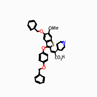 COc1cc2sc(/C=C(/C(=O)O)c3ccncc3)c(Oc3ccc(OCc4ccccc4)cc3)c2cc1OCc1ccccc1